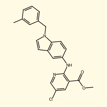 COC(=O)c1cc(Cl)cnc1Nc1ccc2c(ccn2Cc2cccc(C)c2)c1